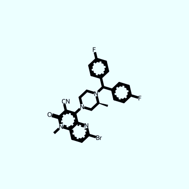 C[C@H]1CN(c2c(C#N)c(=O)n(C)c3ccc(Br)nc23)CCN1C(c1ccc(F)cc1)c1ccc(F)cc1